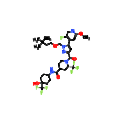 COc1cc(-c2cc(C(=O)N3CCC(C(=O)NC4CCC(O)(C(F)(F)F)CC4)C[C@H]3C(F)(F)F)nn2COCC[Si](C)(C)C)c(F)cn1